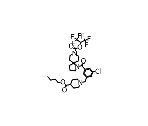 CCCCOC(=O)C1CCN(Cc2cc(Cl)cc(C(=O)N3CCCC34CCN(C(=O)OC(C(F)(F)F)C(F)(F)F)CC4)c2)CC1